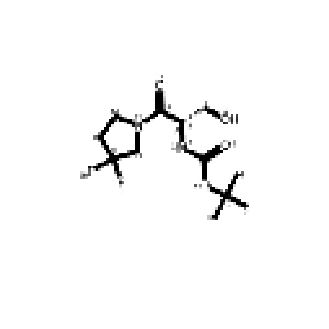 CC(C)(C)OC(=O)N[C@@H](CO)C(=O)N1CCC(F)(F)C1